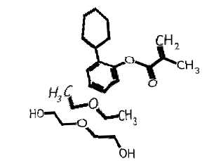 C=C(C)C(=O)Oc1ccccc1C1CCCCC1.CCOCC.OCCOCCO